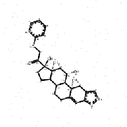 C[C@]12Cc3cnoc3C=C1CCC1C2[C@@H](O)C[C@@]2(C)C1CC[C@]2(O)C(=O)CSc1ccccn1